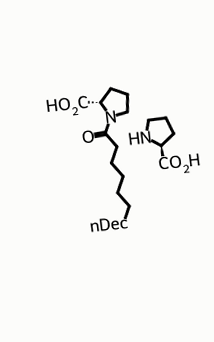 CCCCCCCCCCCCCCCC(=O)N1CCC[C@H]1C(=O)O.O=C(O)[C@@H]1CCCN1